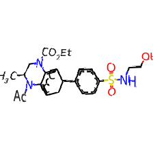 CCOC(=O)N1C[C@H](C)N(C(C)=O)C2=C3CCCC(=C21)C(c1ccc(S(=O)(=O)NCCO)cc1)C3